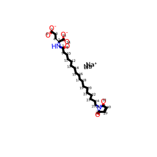 O=C([O-])CC[C@H](NC(=O)CCCCCCCCCCCCCCCCCN1C(=O)C=CC1=O)C(=O)[O-].[Na+].[Na+]